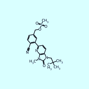 Cn1c(=O)n(CC(C)(C)C)c2ccc(-c3cc(COS(C)(=O)=O)ccc3C#N)nc21